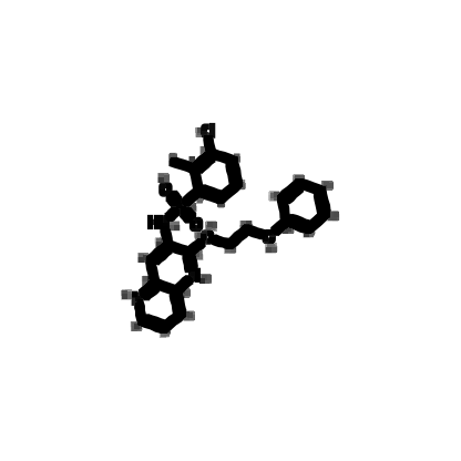 Cc1c(Cl)cccc1S(=O)(=O)Nc1cc2ncccc2nc1OCCOc1ccccc1